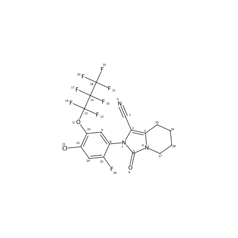 N#Cc1c2n(c(=O)n1-c1cc(OC(F)(F)C(F)(F)C(F)(F)F)c(Cl)cc1F)CCCC2